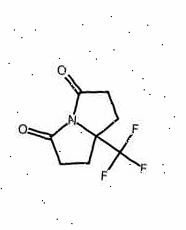 O=C1CCC2(C(F)(F)F)CCC(=O)N12